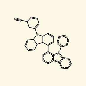 N#CC1C=CC=C(N2C3C=CC=CC3C3C(c4cccc5c6ccccc6n(-c6ccccc6)c45)=CC=CC32)C1